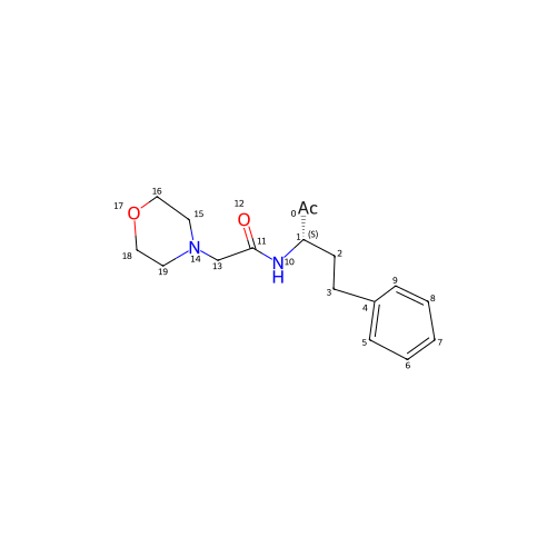 CC(=O)[C@H](CCc1ccccc1)NC(=O)CN1CCOCC1